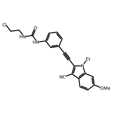 CCn1c(C#Cc2cccc(NC(=O)NCCCl)c2)c(C#N)c2ccc(OC)cc21